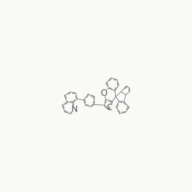 C1=CC2c3ccccc3C3(c4ccccc4Oc4c(-c5ccc(-c6cccc7cccnc67)cc5)cccc43)C2C=C1